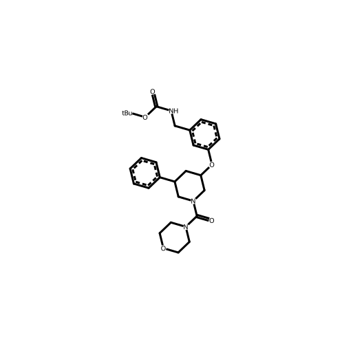 CC(C)(C)OC(=O)NCc1cccc(OC2CC(c3ccccc3)CN(C(=O)N3CCOCC3)C2)c1